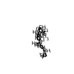 Cn1cc(C(F)(F)F)cc(Nc2nc3ncc(O/C(C=N)=C4\C=NC(NCCN5CCC(F)(F)C5)=CN4)c(Cl)c3n2C)c1=O